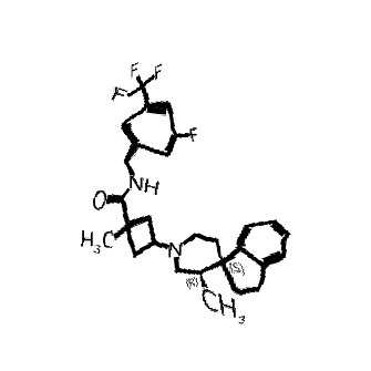 C[C@H]1CN(C2CC(C)(C(=O)NCc3cc(F)cc(C(F)(F)F)c3)C2)CC[C@@]12CCc1ccccc12